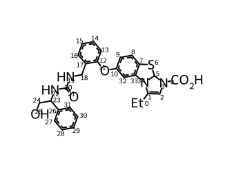 CCC1=CN(C(=O)O)C2Sc3ccc(Oc4ccccc4CNC(=O)NC(CO)c4ccccc4)cc3N12